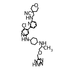 C[C@@H](COCc1nn[nH]n1)N[C@H]1CC[C@H](Nc2cc(-c3cccc(NCC4(C#N)CCOCC4)n3)c(Cl)cn2)CC1